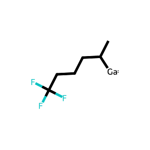 C[CH]([Ga])CCCC(F)(F)F